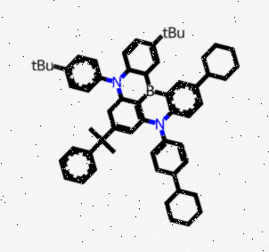 CC(C)(C)C1=CC2B3C4=C(C=C(C(C)(C)c5ccccc5)CC4N(c4ccc(C(C)(C)C)cc4)C2C=C1)N(C1=CCC(C2CCCCC2)C=C1)c1ccc(C2CCCCC2)cc13